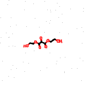 O=C(OCCO)C(=O)C(=O)OCCO